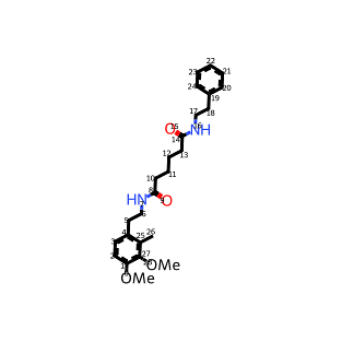 COc1ccc(CCNC(=O)CCCCC(=O)NCCc2ccccc2)c(C)c1OC